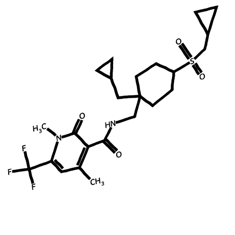 Cc1cc(C(F)(F)F)n(C)c(=O)c1C(=O)NCC1(CC2CC2)CCC(S(=O)(=O)CC2CC2)CC1